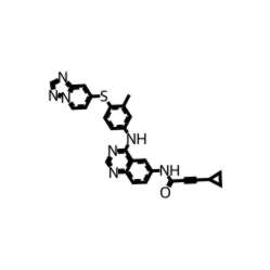 Cc1cc(Nc2ncnc3ccc(NC(=O)C#CC4CC4)cc23)ccc1Sc1ccn2ncnc2c1